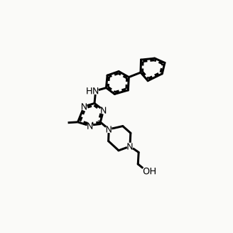 Cc1nc(Nc2ccc(-c3ccccc3)cc2)nc(N2CCN(CCO)CC2)n1